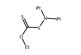 CCOC(=S)SN(C(C)C)C(C)C